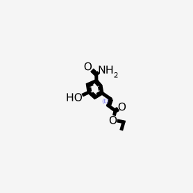 CCOC(=O)/C=C/c1cc(O)cc(C(N)=O)c1